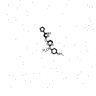 CN(c1nccc(Oc2cc(C3CCCC3)[nH]n2)n1)C1CCC(N)CC1